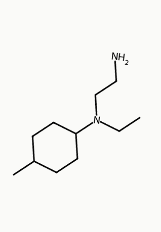 CCN(CCN)C1CCC(C)CC1